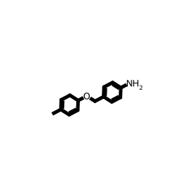 CC1=CCC(OCc2ccc(N)cc2)C=C1